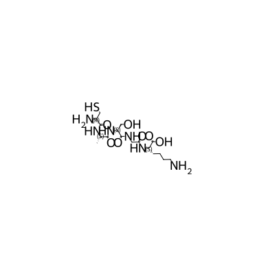 C[C@H](NC(=O)[C@@H](N)CS)C(=O)N[C@@H](CO)C(=O)NCC(=O)N[C@@H](CCCCN)C(=O)O